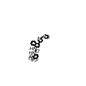 COc1c(NC(=O)Nc2ccc(-c3ccc(CN4CCOCC4)nc3)c3ccccc23)ccc(F)c1F